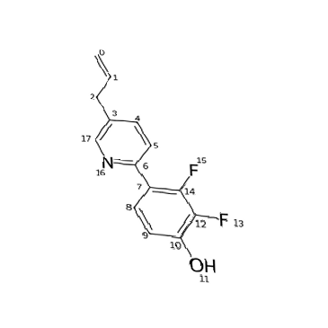 C=CCc1ccc(-c2ccc(O)c(F)c2F)nc1